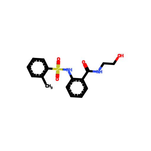 Cc1ccccc1S(=O)(=O)Nc1ccccc1C(=O)NCCO